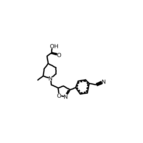 CC1CC(CC(=O)O)CCN1CC1CC(c2ccc(C#N)cc2)=NO1